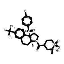 CC[C@]1(C)CC(C(=O)N2CC[C@]3(S(=O)(=O)c4ccc(F)cc4)c4ccc(C(F)(C(F)(F)F)C(F)(F)F)cc4CC[C@H]23)CCS1(=O)=O